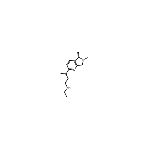 C=C1c2cnc(N(C)CCNCC)nc2CN1C